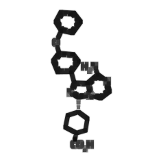 Nc1nccn2c1c(-c1ccc(Oc3ccccc3)cc1)nc2[C@H]1CC[C@H](C(=O)O)CC1